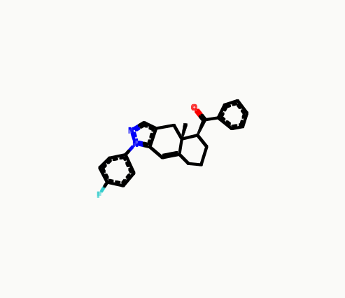 C[C@]12Cc3cnn(-c4ccc(F)cc4)c3C=C1CCC[C@@H]2C(=O)c1ccccc1